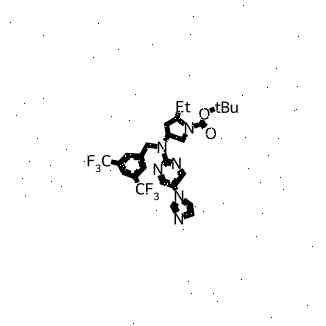 CCC1CC(N(Cc2cc(C(F)(F)F)cc(C(F)(F)F)c2)c2ncc(-n3ccnc3)cn2)CN1C(=O)OC(C)(C)C